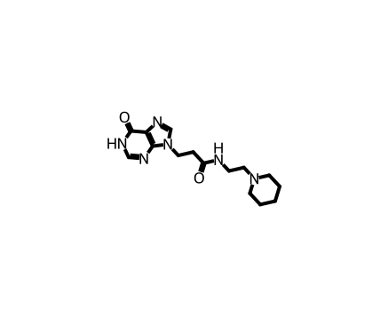 O=C(CCn1cnc2c(=O)[nH]cnc21)NCCN1CCCCC1